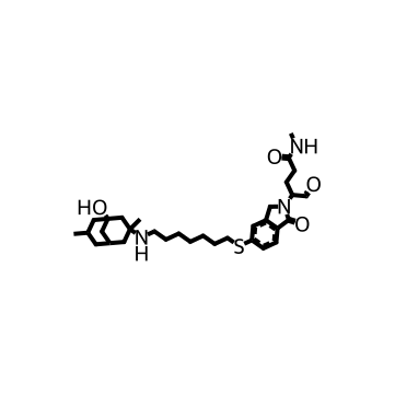 CNC(=O)CCC(C=O)N1Cc2cc(SCCCCCCCNC3(C)CC4CC(C)CC(O)(C4)C3)ccc2C1=O